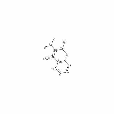 CC(C)N(C(=O)c1ccccn1)C(C)C